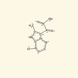 Cc1[nH]c2c(Cl)ccnc2c1C(=O)C(=O)O